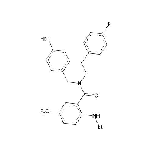 CCNc1ccc(C(F)(F)F)cc1C(=O)N(CCc1ccc(F)cc1)Cc1ccc(C(C)(C)C)cc1